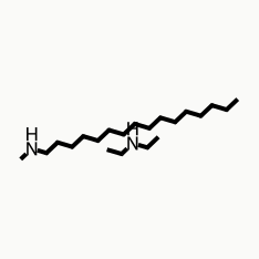 CCCCCCCCCCCCCCCCNC.CCNCC